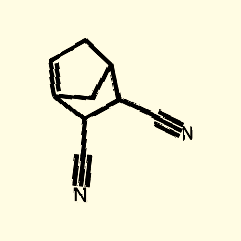 N#CC1C2=CCC(C2)C1C#N